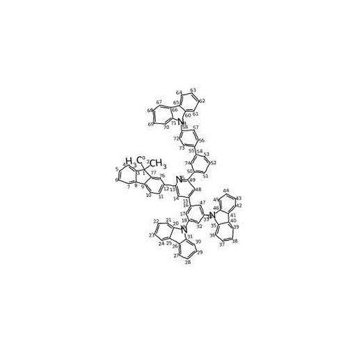 CC1(C)c2ccccc2-c2ccc(-c3cc(-c4cc(-n5c6ccccc6c6ccccc65)cc(-n5c6ccccc6c6ccccc65)c4)cc(-c4cccc(-c5ccc(-n6c7ccccc7c7ccccc76)cc5)c4)n3)cc21